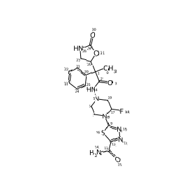 CC(C(=O)NN1CCN(c2nnc(C(N)=O)s2)C(F)C1)(c1ccccc1)C1CNC(=O)O1